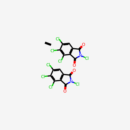 C=C.O=C1c2cc(Cl)c(Cl)c(Cl)c2C(=O)N1Cl.O=C1c2cc(Cl)c(Cl)c(Cl)c2C(=O)N1Cl